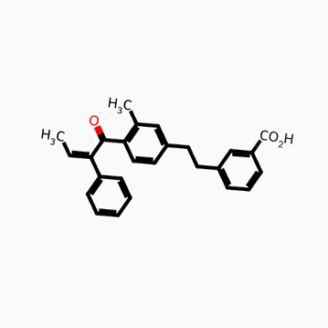 C/C=C(\C(=O)c1ccc(CCc2cccc(C(=O)O)c2)cc1C)c1ccccc1